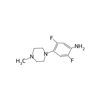 CN1CCN(c2cc(F)c(N)cc2F)CC1